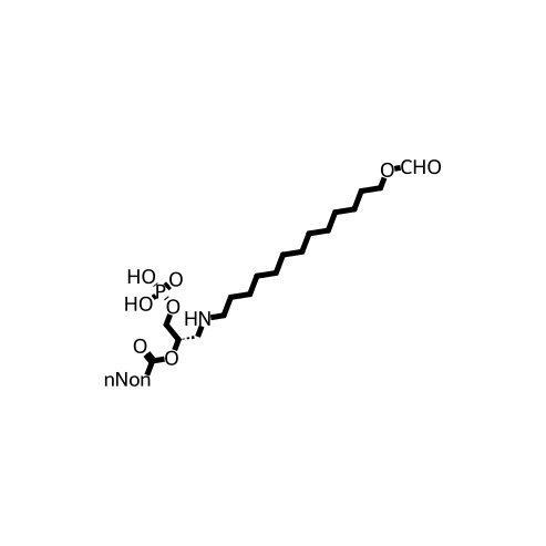 CCCCCCCCCC(=O)O[C@@H](CNCCCCCCCCCCCCCOC=O)COP(=O)(O)O